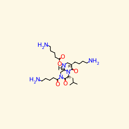 CC(C)C[C@@H]1C(=O)N(C(=O)CCCCN)C[C@@H]2N(OC(=O)CCCCN)C[C@@H](CCCCN)C(=O)N12